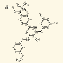 CCc1cccc(CNC[C@@H](O)[C@H](Cc2cc(F)cc(F)c2)NC(=O)c2ccc(N(CCO)S(C)(=O)=O)nc2)c1